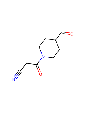 N#CCC(=O)N1CCC(C=O)CC1